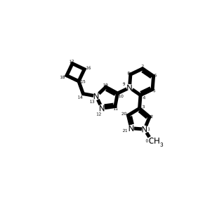 Cn1cc(C2=CC=CCN2c2cnn(CC3CCC3)c2)cn1